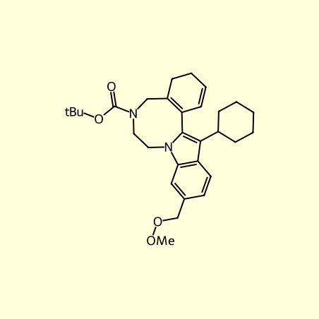 COOCc1ccc2c(C3CCCCC3)c3n(c2c1)CCN(C(=O)OC(C)(C)C)CC1=C3C=CCC1